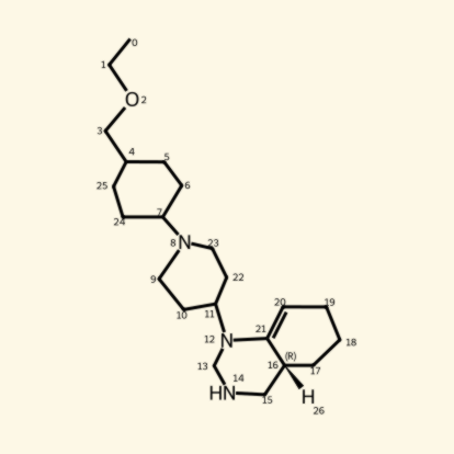 CCOCC1CCC(N2CCC(N3CNC[C@H]4CCCC=C43)CC2)CC1